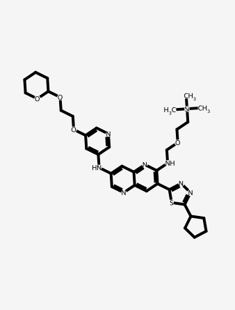 C[Si](C)(C)CCOCNc1nc2cc(Nc3cncc(OCCOC4CCCCO4)c3)cnc2cc1-c1nnc(C2CCCC2)s1